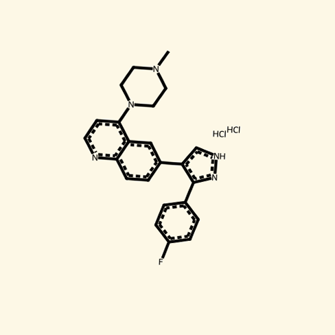 CN1CCN(c2ccnc3ccc(-c4c[nH]nc4-c4ccc(F)cc4)cc23)CC1.Cl.Cl